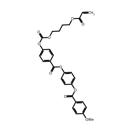 C=CC(=O)OCCCCOC(=O)Oc1ccc(C(=O)Oc2ccc(OC(=O)c3ccc(OC)cc3)cc2)cc1